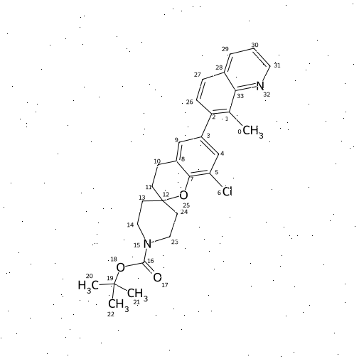 Cc1c(-c2cc(Cl)c3c(c2)CCC2(CCN(C(=O)OC(C)(C)C)CC2)O3)ccc2cccnc12